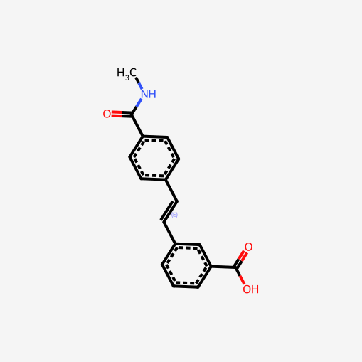 CNC(=O)c1ccc(/C=C/c2cccc(C(=O)O)c2)cc1